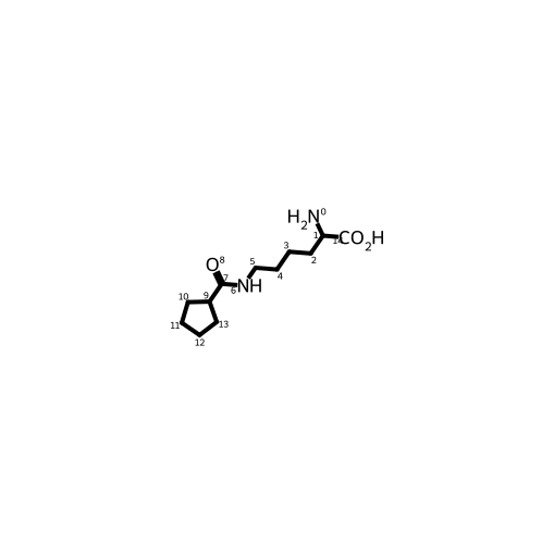 NC(CCCCNC(=O)C1CCCC1)C(=O)O